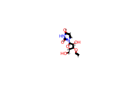 C=CO[C@@H]1[C@H](O)[C@H](n2ccc(=O)[nH]c2=O)O[C@@H]1CO